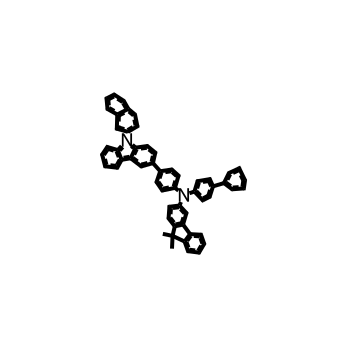 CC1(C)c2ccccc2-c2cc(N(c3ccc(-c4ccccc4)cc3)c3ccc(-c4ccc5c(c4)c4ccccc4n5-c4ccc5ccccc5c4)cc3)ccc21